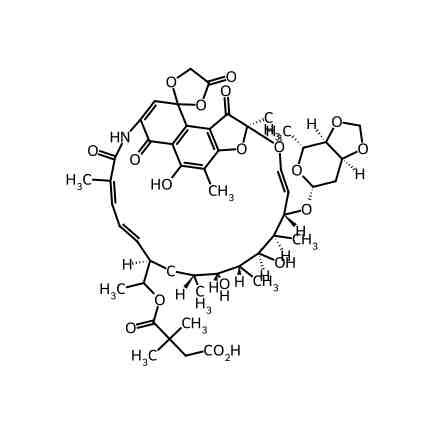 C/C1=C/C=C/[C@H](C(C)OC(=O)C(C)(C)CC(=O)O)C[C@@H](C)[C@@H](O)[C@@H](C)[C@H](O)[C@H](C)[C@@H](O[C@H]2C[C@@H]3OCO[C@@H]3[C@@H](C)O2)/C=C/O[C@@]2(C)Oc3c(C)c(O)c4c(c3C2=O)C2(C=C(NC1=O)C4=O)OCC(=O)O2